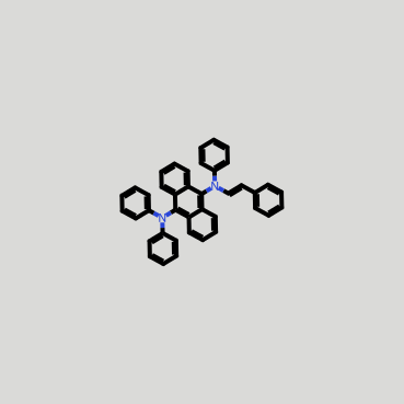 C(=CN(c1ccccc1)c1c2ccccc2c(N(c2ccccc2)c2ccccc2)c2ccccc12)c1ccccc1